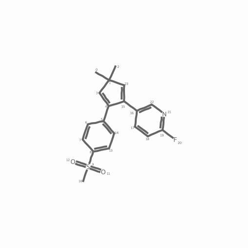 CC1(C)C=C(c2ccc(S(C)(=O)=O)cc2)C(c2ccc(F)nc2)=C1